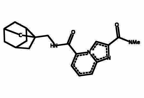 CNC(=O)c1cn2c(C(=O)NCC34CC5CC(CC3C5)C4)cccc2n1